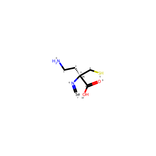 NCC[C@@](CS)(N=[Se])C(=O)O